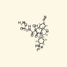 N#Cc1cc2c3c(c1)c(O)c(C(=O)NCC(=O)ON)c(=O)n3C(c1ccc(C(F)(F)F)cc1)CO2